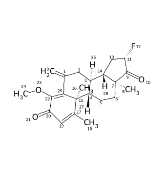 C=C1C[C@@H]2[C@H](CC[C@]3(C)C(=O)[C@@H](F)C[C@@H]23)[C@@]2(C)C(C)=CC(=O)C(OC)=C12